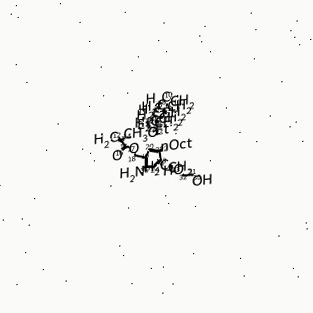 C=C.C=C.C=C.C=C.C=C.C=C.C=C(C)C(=O)OCc1cc(CCCCCCCC)ccc1N.CCOCC.OCCO